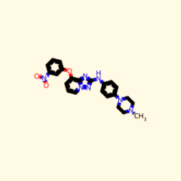 CN1CCN(c2ccc(Nc3nc4c(Oc5cccc([N+](=O)[O-])c5)cccn4n3)cc2)CC1